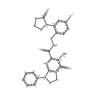 O=C(NCc1ccc(F)cc1N1CCCC1=O)c1nc2n(c(=O)c1O)CCN2c1ccccc1